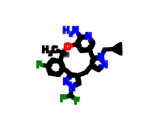 C[C@H]1Oc2cc(cnc2N)-c2c(cnn2CC2CC2)Cc2cn(C(F)F)nc2-c2ccc(F)cc21